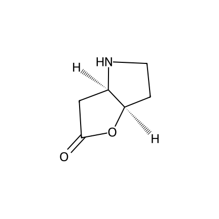 O=C1C[C@H]2NCC[C@H]2O1